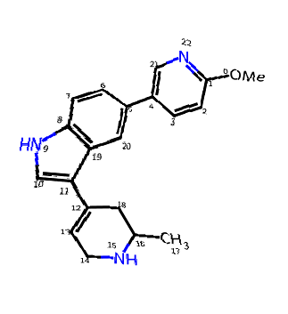 COc1ccc(-c2ccc3[nH]cc(C4=CCNC(C)C4)c3c2)cn1